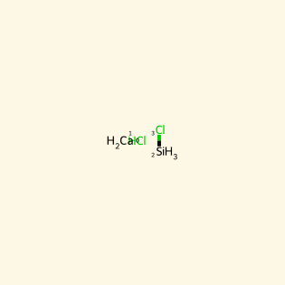 Cl.[CaH2].[SiH3]Cl